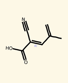 C=C(C)/C=C(\C#N)C(=O)O